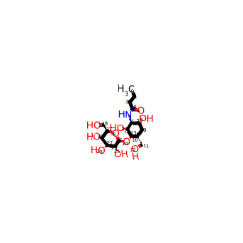 CCCC(=O)N[C@H]1C(O)C[C@H](CO)[C@@H](O[C@@H]2O[C@H](CO)[C@@H](O)[C@H](O)[C@H]2O)[C@@H]1O